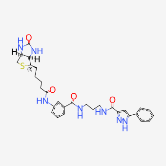 O=C(CCCC[C@H]1SC[C@H]2NC(=O)N[C@H]21)Nc1cccc(C(=O)NCCCNC(=O)c2cc(-c3ccccc3)[nH]n2)c1